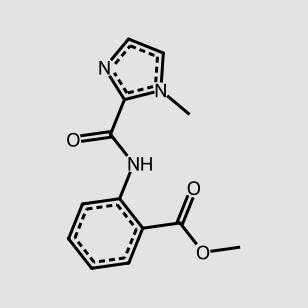 COC(=O)c1ccccc1NC(=O)c1nccn1C